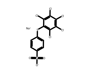 O=S(=O)([O-])c1ccc(Sc2c(Cl)c(Cl)c(Cl)c(Cl)c2Cl)cc1.[Na+]